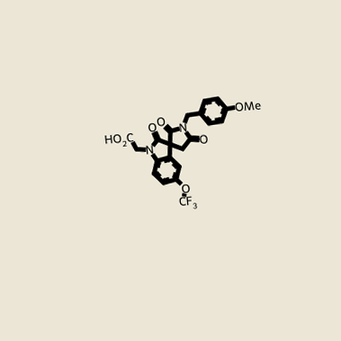 COc1ccc(CN2C(=O)CC3(C2=O)C(=O)N(CC(=O)O)c2ccc(OC(F)(F)F)cc23)cc1